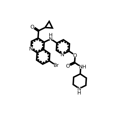 O=C(NC1CCNCC1)Oc1ccc(Nc2c(C(=O)C3CC3)cnc3ccc(Br)cc23)cn1